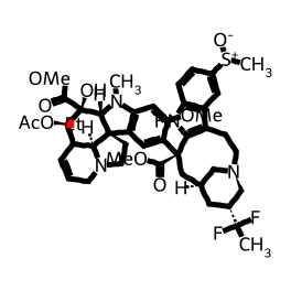 CC[C@]12C=CCN3CC[C@@]4(c5cc([C@@]6(C(=O)OC)C[C@@H]7C[C@@H](C(C)(F)F)C[N@](CCc8c6[nH]c6ccc([S+](C)[O-])cc86)C7)c(OC)cc5N(C)[C@H]4[C@@](O)(C(=O)OC)[C@@H]1OC(C)=O)[C@@H]32